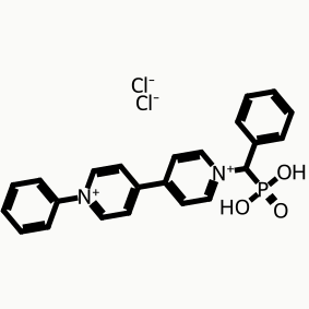 O=P(O)(O)C(c1ccccc1)[n+]1ccc(-c2cc[n+](-c3ccccc3)cc2)cc1.[Cl-].[Cl-]